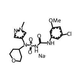 COc1cc(Cl)cc(NC(=O)NS(=O)(=O)N(c2cnn(C)c2)C2CCOCC2)c1.[Na]